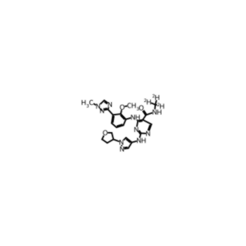 [2H]C([2H])([2H])NC(=O)c1cnc(Nc2cnn(C3CCOC3)c2)nc1Nc1cccc(-c2ncn(C)n2)c1OC